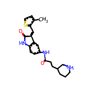 Cc1ccsc1C=C1C(=O)Nc2ccc(NC(=O)CCC3CCCNC3)cc21